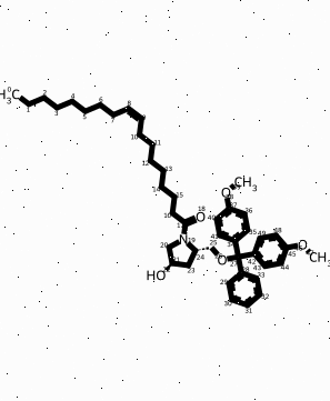 CCCCCCCC/C=C\CCCCCCCC(=O)N1C[C@H](O)C[C@H]1COC(c1ccccc1)(c1ccc(OC)cc1)c1ccc(OC)cc1